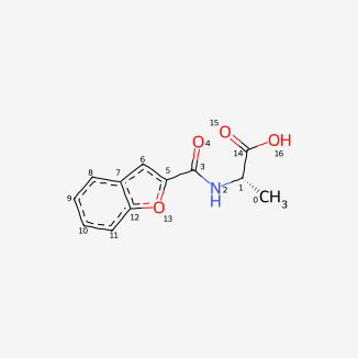 C[C@H](NC(=O)c1cc2ccccc2o1)C(=O)O